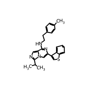 Cc1ccc(CCNc2nc(-c3csc4ccccc34)cn3c(C(C)C)ncc23)cc1